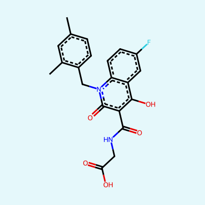 Cc1ccc(Cn2c(=O)c(C(=O)NCC(=O)O)c(O)c3cc(F)ccc32)c(C)c1